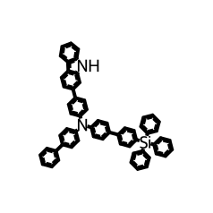 c1ccc(-c2ccc(N(c3ccc(-c4ccc([Si](c5ccccc5)(c5ccccc5)c5ccccc5)cc4)cc3)c3ccc(-c4ccc5c(c4)[nH]c4ccccc45)cc3)cc2)cc1